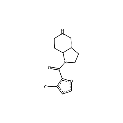 O=C(c1occc1Cl)N1CCC2CNCCC21